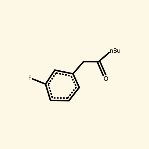 CCCCC(=O)Cc1cccc(F)c1